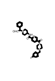 O=CC(c1ccccc1)N1CCC(NC(=O)c2ccc(C(=O)N3CCN(Cc4ccc(F)cc4)CC3)cn2)CC1